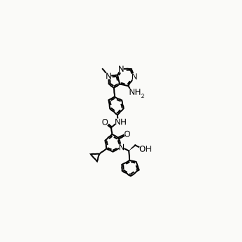 Cn1cc(-c2ccc(NC(=O)c3cc(C4CC4)cn([C@@H](CO)c4ccccc4)c3=O)cc2)c2c(N)ncnc21